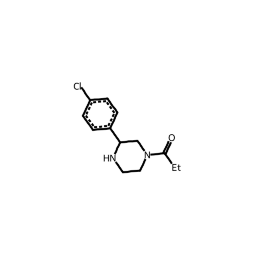 CCC(=O)N1CCNC(c2ccc(Cl)cc2)C1